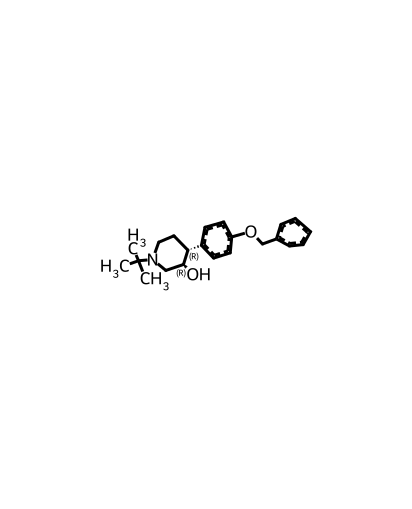 CC(C)(C)N1CC[C@H](c2ccc(OCc3ccccc3)cc2)[C@@H](O)C1